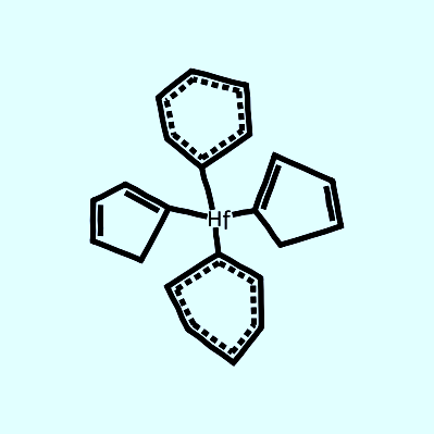 C1=CC[C]([Hf]([C]2=CC=CC2)([c]2ccccc2)[c]2ccccc2)=C1